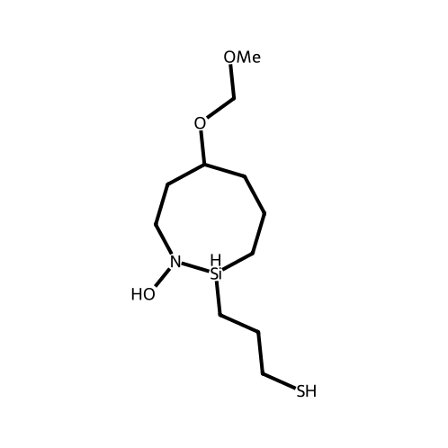 COCOC1CCC[SiH](CCCS)N(O)CC1